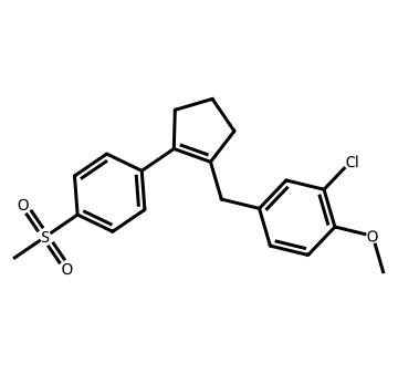 COc1ccc(CC2=C(c3ccc(S(C)(=O)=O)cc3)CCC2)cc1Cl